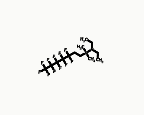 CCN(CC)[Si](C)(C)CCC(F)(F)C(F)(F)C(F)(F)C(F)(F)C(F)(F)F